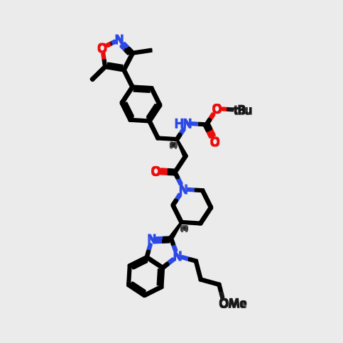 COCCCn1c([C@@H]2CCCN(C(=O)C[C@@H](Cc3ccc(-c4c(C)noc4C)cc3)NC(=O)OC(C)(C)C)C2)nc2ccccc21